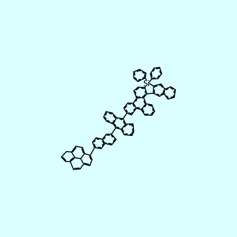 C1=CC2=C3C(=CC=C4C(c5ccc6cc(-c7c8ccccc8c(-c8ccc9c(c8)c8ccccc8c8c%10c(ccc98)[Si](c8ccccc8)(c8ccccc8)c8cc9ccccc9cc8-%10)c8ccccc78)ccc6c5)=CC=C(C=C2)C43)C1